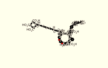 CCCC[C@H](NC(=O)CCC(=O)NCCCOCCOCCOCCCNC(=O)CN1CCN(CC(=O)O)CCN(CC(=O)O)CCN(CC(=O)O)CC1)C(=O)N[C@H]1CSSC[C@@H](C(=O)N[C@@H](CC(=O)O)C(=O)NCc2ccc(C(=O)N[C@@H](CCCNC(=N)N)C(N)=O)cc2)NC(=O)[C@H](Cc2ccccc2)NC(=O)[C@H](CCC(=O)O)NC(=O)[C@H]([C@@H](C)O)NC(=O)[C@@H]2CCCN2C(=O)[C@@H]2CCCN2C1=O